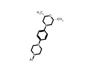 CC(=O)N1CCN(c2ccc(N3C[C@@H](C)O[C@@H](C)C3)cc2)CC1